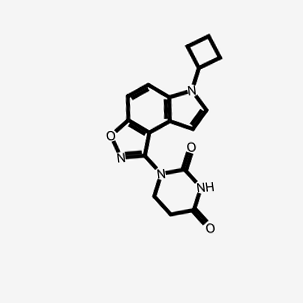 O=C1CCN(c2noc3ccc4c(ccn4C4CCC4)c23)C(=O)N1